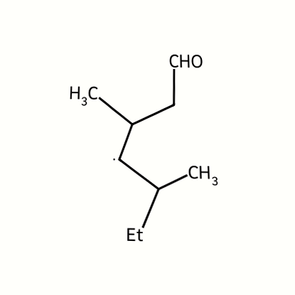 CCC(C)[CH]C(C)CC=O